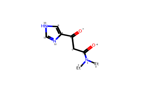 CCN(CC)C(=O)CC(=O)c1c[nH]cn1